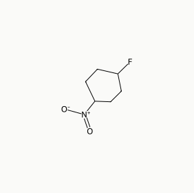 O=[N+]([O-])C1CCC(F)CC1